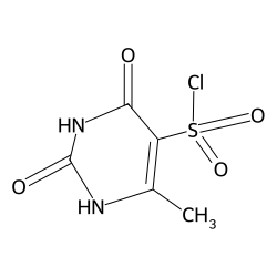 Cc1[nH]c(=O)[nH]c(=O)c1S(=O)(=O)Cl